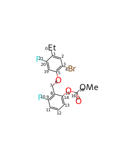 CCc1cc(Br)c(OCc2c(F)cccc2OC(=O)OC)cc1F